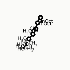 CCCCCCCCC1(CCCCCCCC)c2ccccc2-c2ccc(-c3ccc4c(c3)C(C)(C)c3cc(-c5cc(C)c(BOC(C)(C)C(C)(C)O)c(C)c5)ccc3-4)cc21